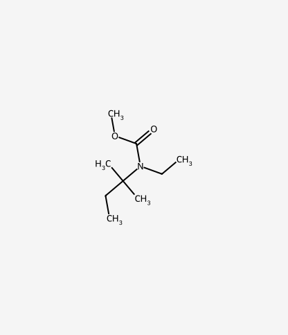 CCN(C(=O)OC)C(C)(C)CC